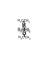 CC(C)C1CCN(C(C)(C)C(C)(C)N2CC3CN(C(C)C)CC3C2)CC1